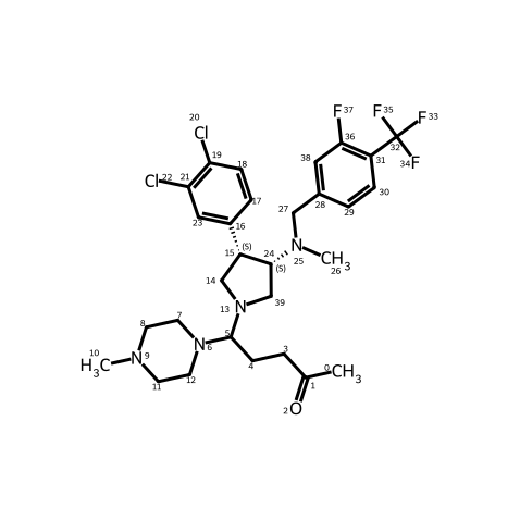 CC(=O)CCC(N1CCN(C)CC1)N1C[C@H](c2ccc(Cl)c(Cl)c2)[C@H](N(C)Cc2ccc(C(F)(F)F)c(F)c2)C1